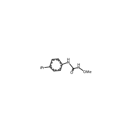 CONC(=O)Nc1ccc(C(C)C)cc1